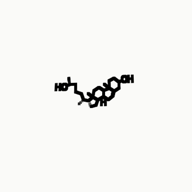 C[C@H](O)CCC[C@@H](C)[C@H]1CCC2[C@@H]3CC=C4CC(O)CCC4(C)C3CCC21C